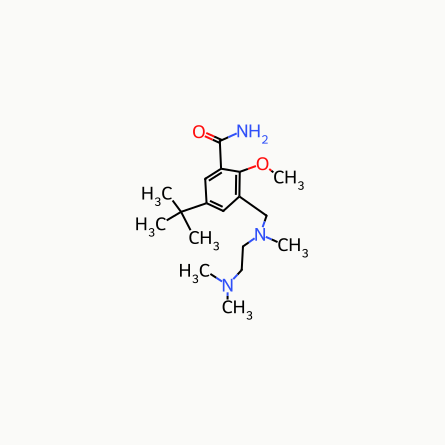 COc1c(CN(C)CCN(C)C)cc(C(C)(C)C)cc1C(N)=O